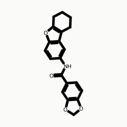 O=C(Nc1ccc2oc3c(c2c1)CCCC3)c1ccc2c(c1)OCO2